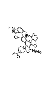 C=CC(=O)N1CCN(c2c(C(=O)NC)c(=O)n(-c3c(C)ccnc3C(C)C)c3c(F)c(-c4c(C)ccc5[nH]ncc45)c(Cl)cc23)CC1